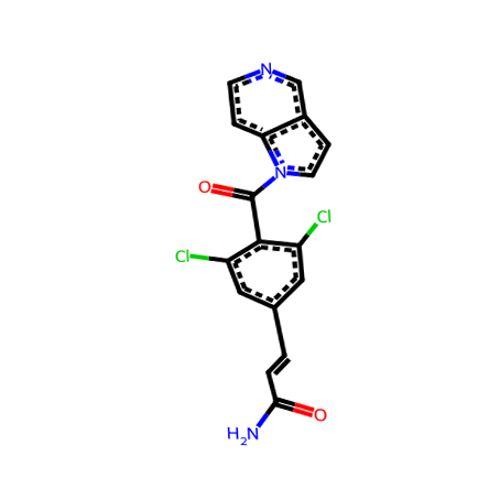 NC(=O)/C=C/c1cc(Cl)c(C(=O)n2ccc3cnccc32)c(Cl)c1